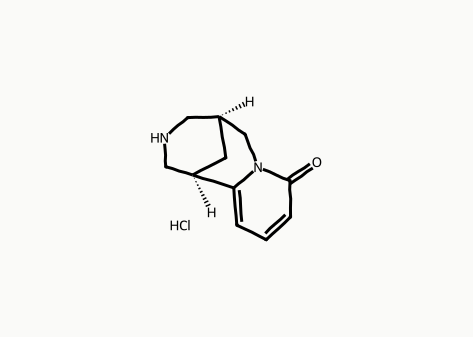 Cl.O=c1cccc2n1C[C@@H]1CNC[C@H]2C1